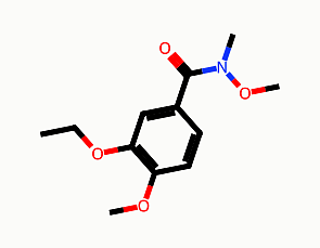 CCOc1cc(C(=O)N(C)OC)ccc1OC